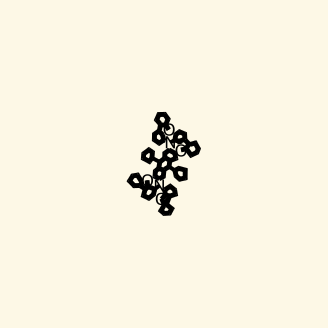 c1ccc(-c2c3ccc(N(c4cccc5c4oc4ccccc45)c4cccc5c4oc4ccccc45)cc3c(-c3ccccc3)c3ccc(N(c4cccc5c4oc4ccccc45)c4cccc5c4oc4ccccc45)cc23)cc1